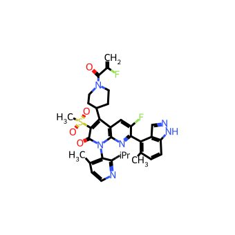 C=C(F)C(=O)N1CCC(c2c(S(C)(=O)=O)c(=O)n(-c3c(C)ccnc3C(C)C)c3nc(-c4c(C)ccc5[nH]ncc45)c(F)cc23)CC1